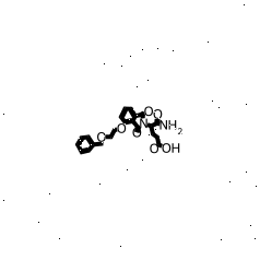 NC(=O)C(CCC(=O)O)N1C(=O)c2cccc(OCCOCc3ccccc3)c2C1=O